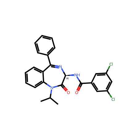 CC(C)N1C(=O)[C@H](NC(=O)c2cc(Cl)cc(Cl)c2)N=C(c2ccccc2)c2ccccc21